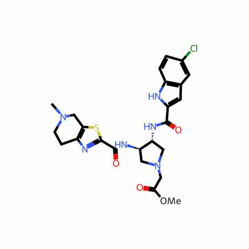 COC(=O)CN1C[C@@H](NC(=O)c2cc3cc(Cl)ccc3[nH]2)[C@H](NC(=O)c2nc3c(s2)CN(C)CC3)C1